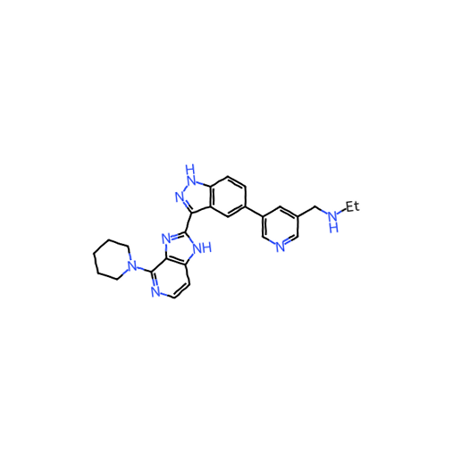 CCNCc1cncc(-c2ccc3[nH]nc(-c4nc5c(N6CCCCC6)nccc5[nH]4)c3c2)c1